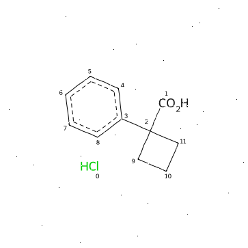 Cl.O=C(O)C1(c2ccccc2)CCC1